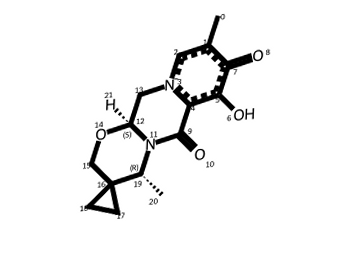 Cc1cn2c(c(O)c1=O)C(=O)N1[C@H](C2)OCC2(CC2)[C@H]1C